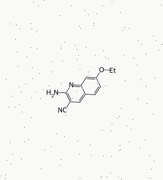 CCOc1ccc2cc(C#N)c(N)nc2c1